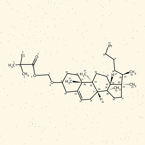 CCC(C)(C)C(=O)OCOC1CC[C@@]2(C)C(=CC[C@H]3[C@]4(C)CC[C@](C)([C@H](C)CCCC(C)C)[C@H]4CC[C@@]32C)C1